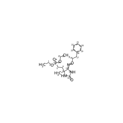 CCOP(=O)(CCC1(C)NC(=O)NC1=NOCCc1ccccc1)OCC